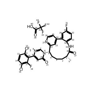 C[C@@H]1CCC[C@H](n2cnc(-c3c(C(F)(F)F)ccc(Cl)c3F)cc2=O)c2cc(ccn2)-c2cc(F)ccc2NC1=O.O=C(O)C(F)(F)F